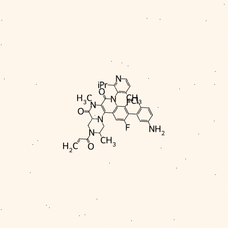 C=CC(=O)N1CC2C(=O)N(C)c3c(c4cc(F)c(-c5cc(N)ccc5Cl)c(F)c4n(-c4c(C)ccnc4C(C)C)c3=O)N2CC1C